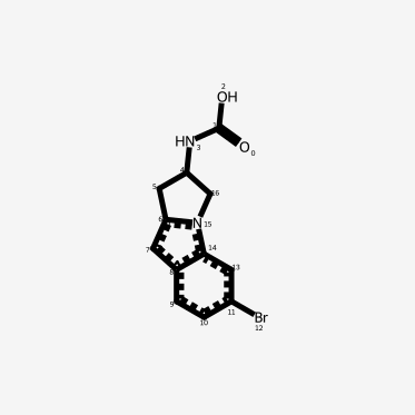 O=C(O)NC1Cc2cc3ccc(Br)cc3n2C1